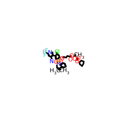 CC(OC(=O)CCCOc1cc(Cl)c(-c2cnc(C(F)(F)F)cc2C#N)cc1S(=O)(=O)N1CCC(C)(C)c2ccccc21)OC(=O)OC1CCCCC1